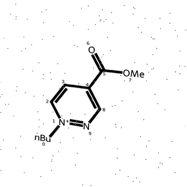 CCCC[n+]1ccc(C(=O)OC)cn1